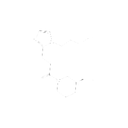 CC(C)OCCn1ccnc1CCC(=O)N1CCC[C@H](C)C1